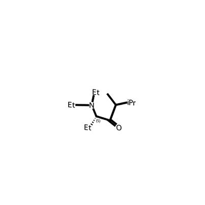 CC[C@@H](C(=O)C(C)C(C)C)N(CC)CC